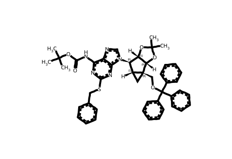 CC(C)(C)OC(=O)Nc1nc(SCc2ccccc2)nc2c1ncn2[C@H]1[C@@H]2OC(C)(C)O[C@@H]2[C@]2(COC(c3ccccc3)(c3ccccc3)c3ccccc3)C[C@H]12